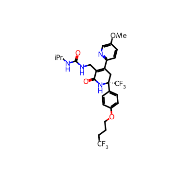 COc1ccc(C2=C(CNC(=O)NC(C)C)C(=O)N[C@@](c3ccc(OCCCC(F)(F)F)cc3)(C(F)(F)F)C2)nc1